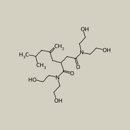 C=C(CC(C)C)CC(CC(=O)N(CCO)CCO)C(=O)N(CCO)CCO